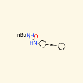 CCCCNCC(=O)Nc1ccc(C#Cc2ccccc2)cc1